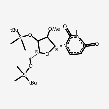 COC1C(O[Si](C)(C)C(C)(C)C)[C@@H](CO[Si](C)(C)C(C)(C)C)O[C@H]1n1ccc(=O)[nH]c1=O